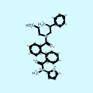 CC(CN(CCC(=O)O)C(=O)c1ccccc1-c1ccccc1C(=O)N(C)c1ccco1)c1ccccc1